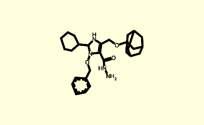 NNC(=O)C1=C(COC23CC4CC(CC(C4)C2)C3)NC(C2CCCCC2)N1OCc1ccccc1